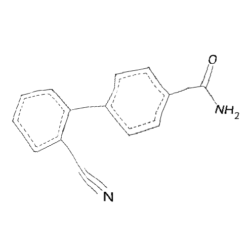 N#Cc1ccccc1-c1ccc(C(N)=O)cc1